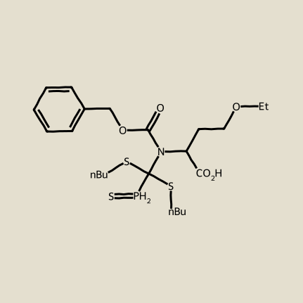 CCCCSC([PH2]=S)(SCCCC)N(C(=O)OCc1ccccc1)C(CCOCC)C(=O)O